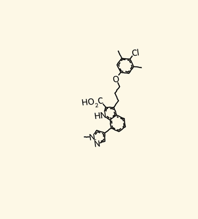 Cc1cc(OCCCc2c(C(=O)O)[nH]c3c(-c4cnn(C)c4)cccc23)cc(C)c1Cl